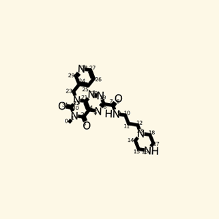 Cn1c(=O)c2nc(C(=O)NCCCN3CCNCC3)nnc2n(Cc2cccnc2)c1=O